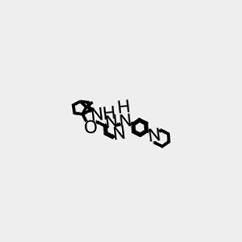 CC1(C)C2CCC1(C)C(NC(=O)c1ccnc(Nc3ccc(N4CCCCC4)cc3)n1)C2